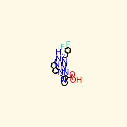 NCc1ccc2ccccc2n1.O=C(O)c1c2n(c3cnc(N4CCN(CCc5ccc(F)c(F)c5)CC4)nc13)CCCC2